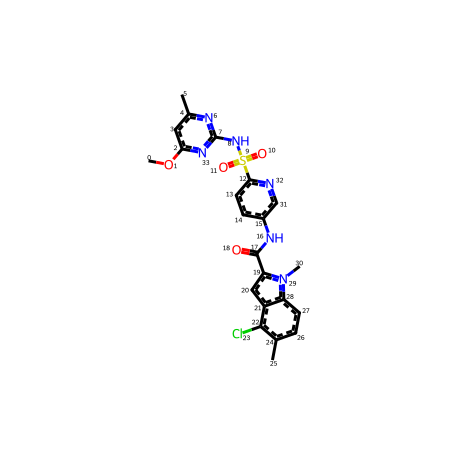 COc1cc(C)nc(NS(=O)(=O)c2ccc(NC(=O)c3cc4c(Cl)c(C)ccc4n3C)cn2)n1